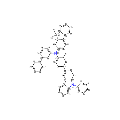 CC1CC(C2=CC3c4ccccc4N(c4ccccc4)C3CC2)CC=C1N(C1=CC=CC(c2ccccc2)C1)C1=CC=C2C3C=CC=CC3C(C)(C)C2C1